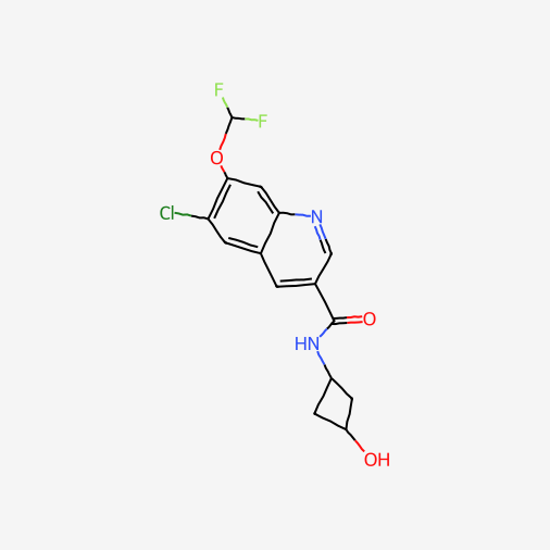 O=C(NC1CC(O)C1)c1cnc2cc(OC(F)F)c(Cl)cc2c1